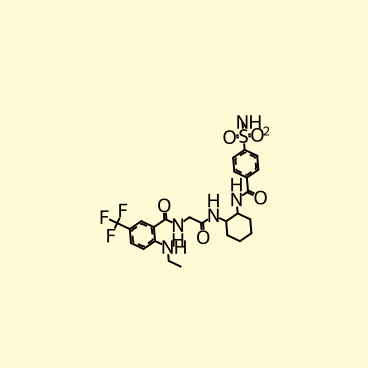 CCNc1ccc(C(F)(F)F)cc1C(=O)NCC(=O)NC1CCCCC1NC(=O)c1ccc(S(N)(=O)=O)cc1